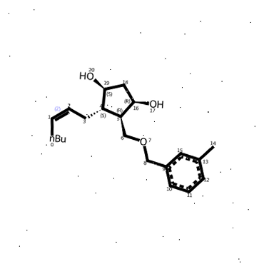 CCCC/C=C\C[C@H]1[C@H](COCc2cccc(C)c2)[C@H](O)C[C@@H]1O